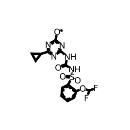 COc1nc(NC(=O)NS(=O)(=O)c2ccccc2OC(F)F)nc(C2CC2)n1